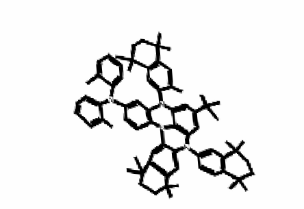 Cc1ccccc1N(c1ccc2c(c1)N(c1cc3c(cc1C)C(C)(C)CCC3(C)C)c1cc(C(C)(C)C)cc3c1B2c1cc2c(cc1N3c1ccc3c(c1)C(C)(C)CCC3(C)C)C(C)(C)CCC2(C)C)c1ccccc1C